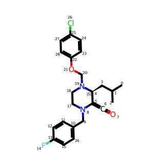 CC(C)C[C@H]1C(=C=O)N(Cc2ccc(F)cc2)CCN1COc1ccc(Cl)cc1